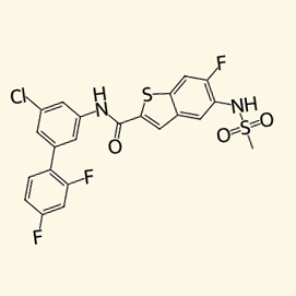 CS(=O)(=O)Nc1cc2cc(C(=O)Nc3cc(Cl)cc(-c4ccc(F)cc4F)c3)sc2cc1F